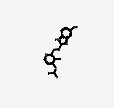 Cc1c(OC(F)F)ccnc1CSc1nc2cc(O)ccc2[nH]1